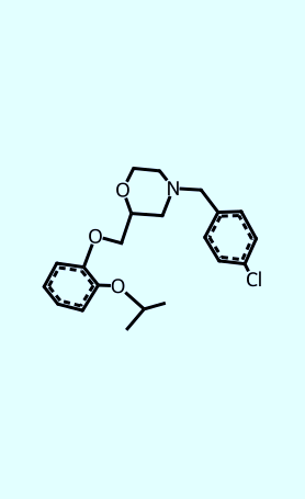 CC(C)Oc1ccccc1OCC1CN(Cc2ccc(Cl)cc2)CCO1